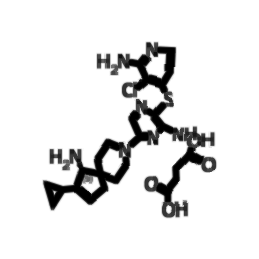 Nc1nc(N2CCC3(CC=C(C4CC4)[C@H]3N)CC2)cnc1Sc1ccnc(N)c1Cl.O=C(O)CCC(=O)O